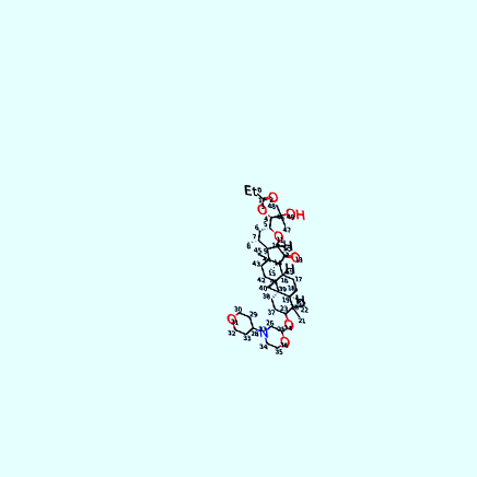 CCC(=O)O[C@@H]([C@H]1C[C@@H](C)C2[C@H](O1)C(=O)[C@@]1(C)[C@@H]3CC[C@H]4C(C)(C)[C@@H](O[C@H]5CN(C6CCOCC6)CCO5)CC[C@@]45C[C@@]35CC[C@]21C)C(C)(C)O